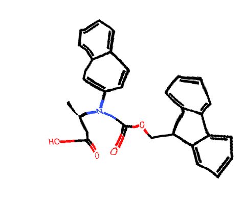 C[C@H](C(=O)O)N(C(=O)OCC1c2ccccc2-c2ccccc21)c1ccc2ccccc2c1